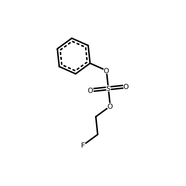 O=S(=O)(OCCF)Oc1ccccc1